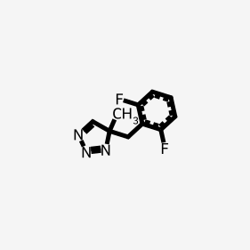 CC1(Cc2c(F)cccc2F)C=NN=N1